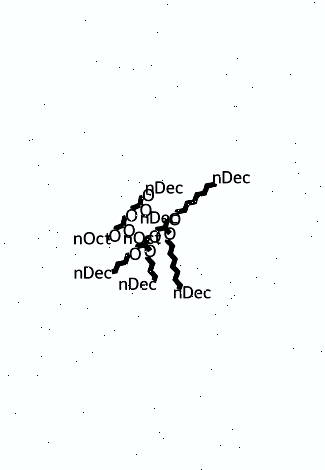 CCCCCCCCCCCCCCCCCCOCC(COCC(COCCCCCCCCCCCCCC)OCCCCCCCCCCCCCC)OCCCCCCCCCCCCCCCCCC.CCCCCCCCCCOCC(COCC(COCCCCCCCC)OCCCCCCCC)OCCCCCCCCCC